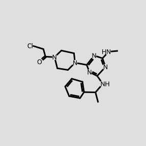 CNc1nc(NC(C)c2ccccc2)nc(N2CCN(C(=O)CCl)CC2)n1